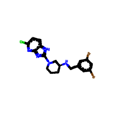 Clc1ccc2[nH]c(N3CCC[C@H](NCc4cc(Br)cc(Br)c4)C3)nc2n1